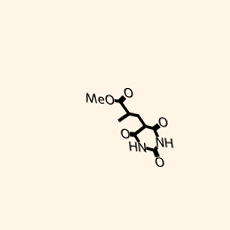 COC(=O)C(C)CC1C(=O)NC(=O)NC1=O